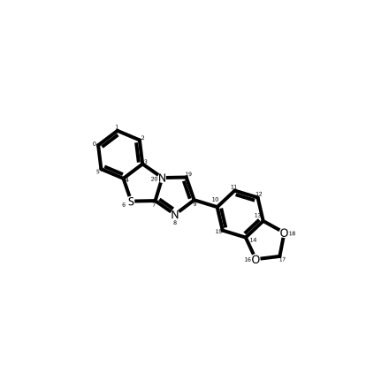 c1ccc2c(c1)sc1nc(-c3ccc4c(c3)OCO4)cn12